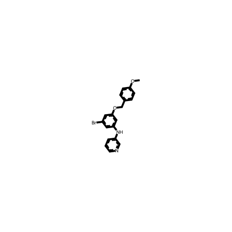 COc1ccc(COc2cc(Br)cc(Nc3cccnc3)c2)cc1